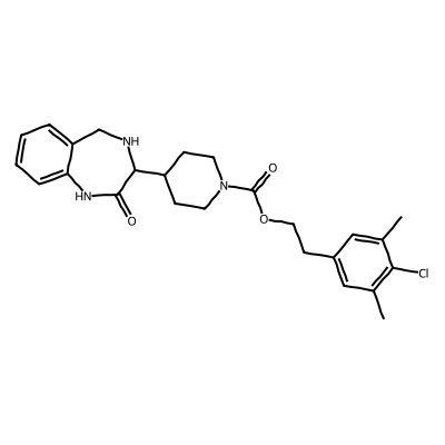 Cc1cc(CCOC(=O)N2CCC(C3NCc4ccccc4NC3=O)CC2)cc(C)c1Cl